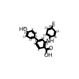 O=C(O)c1ccc(-c2ccc(O)cc2)cc1Nc1ccc(F)cc1